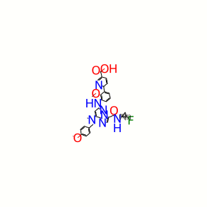 COc1ccc(CN(C)c2cc(Nc3cccc(-c4ccc(C(=O)O)cn4)c3OC)nn3c(C(=O)N[C@@H]4C[C@@H]4F)cnc23)cc1